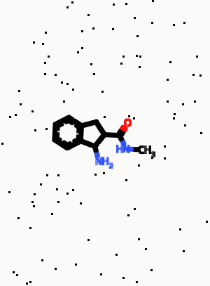 CNC(=O)C1Cc2ccccc2C1N